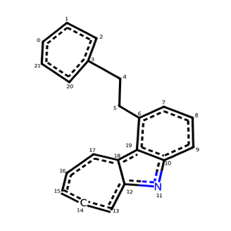 c1ccc(CCc2cccc3nc4cccccc-4c23)cc1